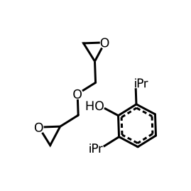 C(OCC1CO1)C1CO1.CC(C)c1cccc(C(C)C)c1O